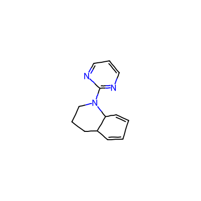 C1=CC2CCCN(c3ncccn3)C2C=C1